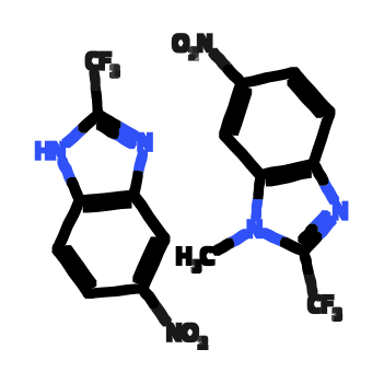 Cn1c(C(F)(F)F)nc2ccc([N+](=O)[O-])cc21.O=[N+]([O-])c1ccc2[nH]c(C(F)(F)F)nc2c1